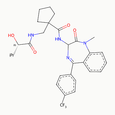 CC(C)[C@H](O)C(=O)NCC1(C(=O)NC2N=C(c3ccc(C(F)(F)F)cc3)c3ccccc3N(C)C2=O)CCCC1